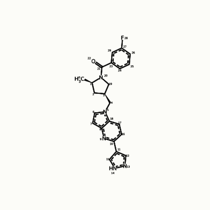 C[C@@H]1C[C@H](Cn2ccc3nc(-c4cn[nH]c4)ccc32)CN1C(=O)c1cccc(F)c1